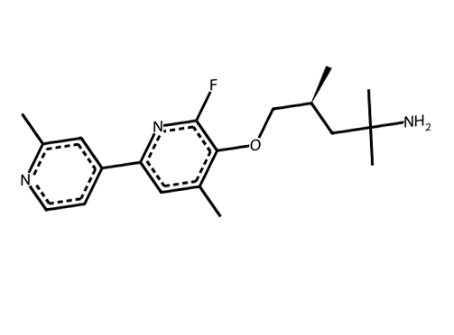 Cc1cc(-c2cc(C)c(OC[C@@H](C)CC(C)(C)N)c(F)n2)ccn1